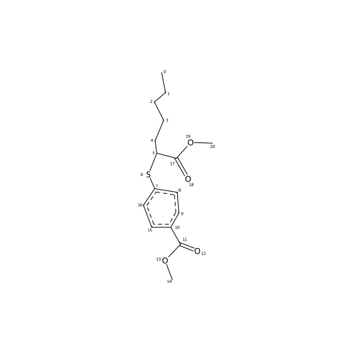 CCCCCC(Sc1ccc(C(=O)OC)cc1)C(=O)OC